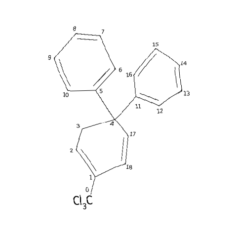 ClC(Cl)(Cl)C1=CCC(c2ccccc2)(c2ccccc2)C=C1